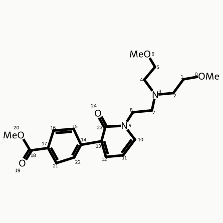 COCCN(CCOC)CCn1cccc(-c2ccc(C(=O)OC)cc2)c1=O